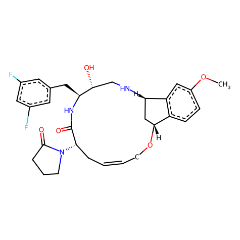 COc1ccc2c(c1)[C@@H]1C[C@H]2OCC=CC[C@H](N2CCCC2=O)C(=O)N[C@@H](Cc2cc(F)cc(F)c2)[C@H](O)CN1